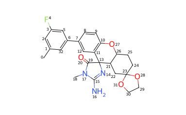 Cc1cc(F)cc(-c2ccc3c(c2)C2(N=C(N)N(C)C2=O)C2CC4(CCC2O3)OCCO4)c1